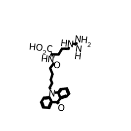 N=C(N)NCCC[C@H](NC(=O)CCCCCn1c2ccccc2c(=O)c2ccccc21)C(=O)O